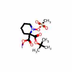 CC(C)(C)OC(=O)C1(C(=O)OI)CCCCN1OS(C)(=O)=O